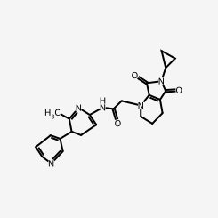 CC1=NC(NC(=O)CN2CCCC3=C2C(=O)N(C2CC2)C3=O)=CCC1c1cccnc1